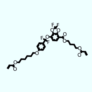 C=CC(=O)OCCCCCCOc1ccc(C(F)(F)Oc2ccc(C(=O)OCCCCOC(=O)C=C)c3c2OC(F)(F)O3)cc1